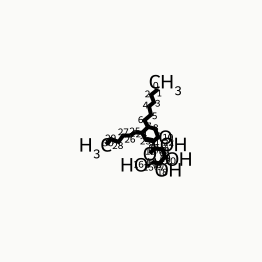 CCCCCCCC1CC(=O)C([C@@H]2O[C@H](CO)[C@@H](O)[C@H](O)[C@H]2O)=CC1CCCCCC